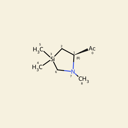 CC(=O)[C@@H]1C[Si](C)(C)CN1C